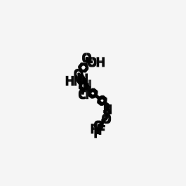 O=C(O)[C@H]1CC[C@H](Oc2nc3nc(-c4ccc(-c5ccc(CN6CC(OCCOC(F)(F)F)C6)cc5)cc4)c(Cl)cc3[nH]2)CC1